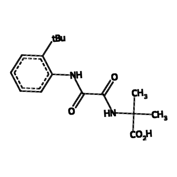 CC(C)(NC(=O)C(=O)Nc1ccccc1C(C)(C)C)C(=O)O